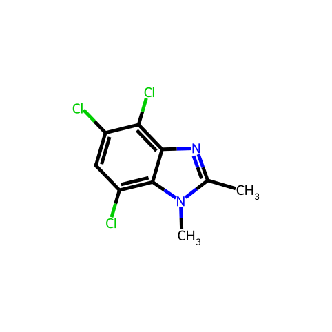 Cc1nc2c(Cl)c(Cl)cc(Cl)c2n1C